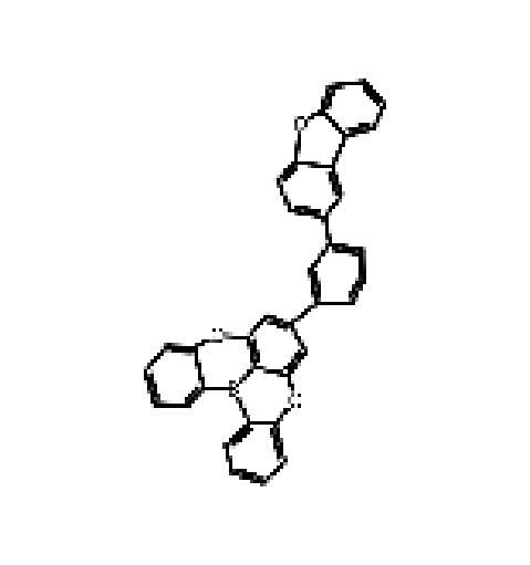 c1cc(-c2cc3c4c(c2)Oc2ccccc2B4c2ccccc2O3)cc(-c2ccc3oc4ccccc4c3c2)c1